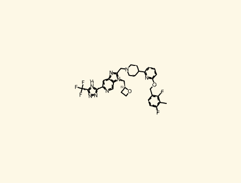 Cc1c(F)ccc(COc2cccc(C3CCN(Cc4nc5cc(-c6nnc(C(F)(F)F)[nH]6)ncc5n4C[C@@H]4CCO4)CC3)n2)c1F